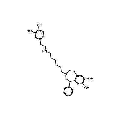 Oc1ccc(CCNCCCCCCN2CCc3cc(O)c(O)cc3C(c3ccccc3)C2)cc1O